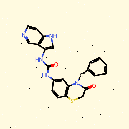 O=C(Nc1ccc2c(c1)N(Cc1ccccc1)C(=O)CS2)Nc1c[nH]c2ccncc12